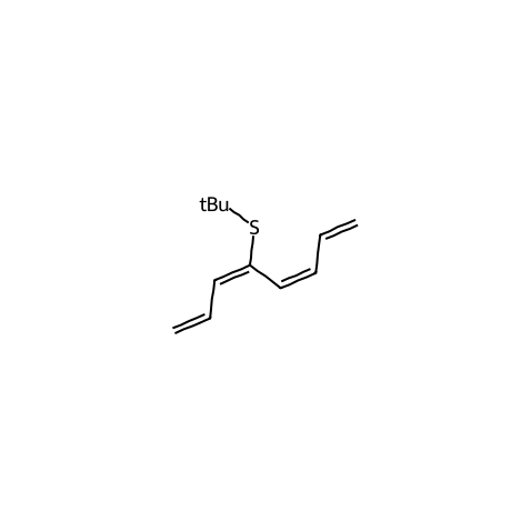 C=C/C=C\C(=C/C=C)SC(C)(C)C